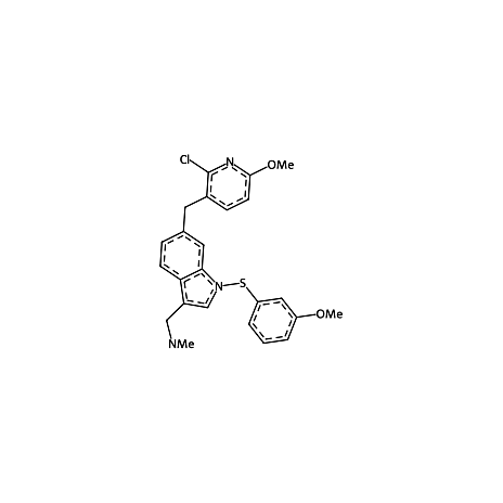 CNCc1cn(Sc2cccc(OC)c2)c2cc(Cc3ccc(OC)nc3Cl)ccc12